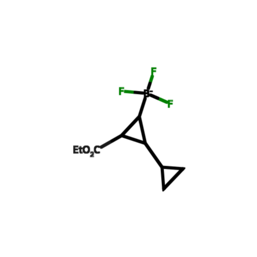 CCOC(=O)C1C(C2CC2)C1[B-](F)(F)F